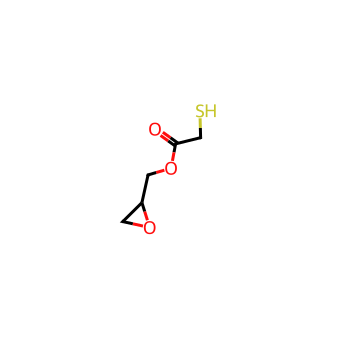 O=C(CS)OCC1CO1